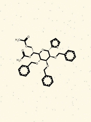 CC(=O)OC[C@@H](OC(C)=O)[C@H]1O[C@H](c2cccs2)[C@@H](OCc2ccccc2)[C@@H](OCc2ccccc2)[C@@H]1OCc1ccccc1